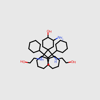 NC1CC(C(NCCO)(C2CCCCC2)C2CCCCC2)(C(NCCO)(C2CCCCC2)C2CCCCC2)CCC1O